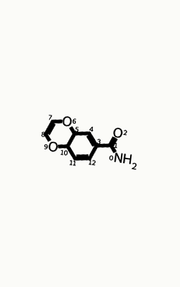 NC(=O)C1=CC2OC=COC2C=C1